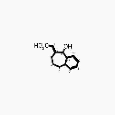 O=C(O)/C=C1\CCCC2C=CC=CC2C1O